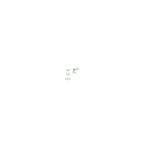 Cl.Cl.F.F.[SiH4]